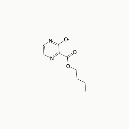 CCCCOC(=O)c1nccnc1[O]